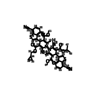 COC(=O)C1=C(C)N(N2C(C)=C(C(=O)OC)C(c3csc4c(C#N)ccc(F)c34)C(C(=O)OCC3CC3)=C2N)C(N)=C(C(=O)OC(C)C)C1c1csc2c(C#N)cccc12